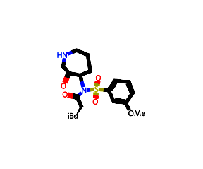 [CH2]C[C@H](C)CC(=O)N(C1CCCNCC1=O)S(=O)(=O)c1cccc(OC)c1